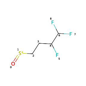 O=[S+]CCC(F)C(F)F